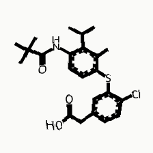 Cc1c(Sc2cc(CC(=O)O)ccc2Cl)ccc(NC(=O)C(C)(C)C)c1C(C)C